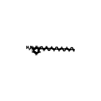 COCCOCCOCCOCCOc1cccc(N)c1